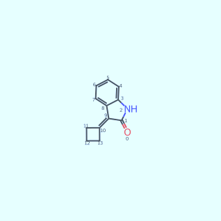 O=C1Nc2ccccc2C1=C1CCC1